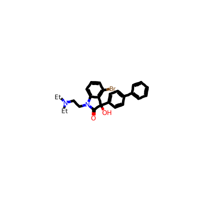 CCN(CC)CCN1C(=O)C(O)(c2ccc(-c3ccccc3)cc2)c2c(Br)cccc21